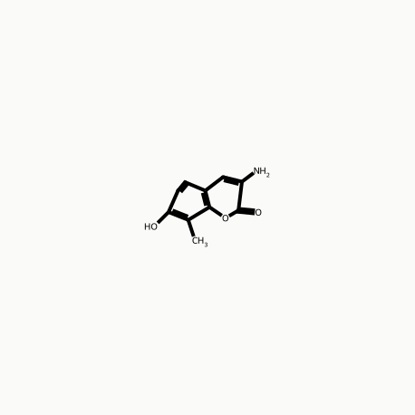 Cc1c(O)ccc2cc(N)c(=O)oc12